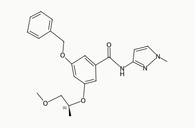 COC[C@H](C)Oc1cc(OCc2ccccc2)cc(C(=O)Nc2ccn(C)n2)c1